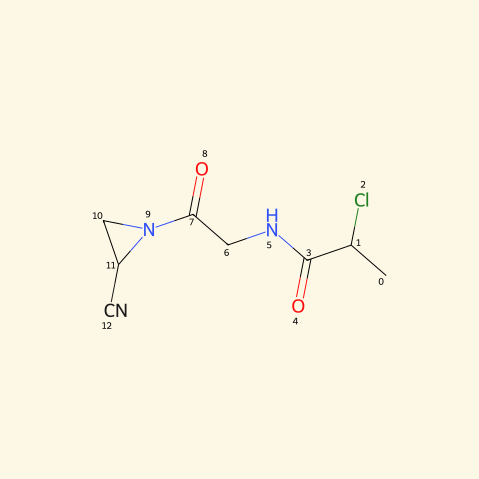 CC(Cl)C(=O)NCC(=O)N1CC1C#N